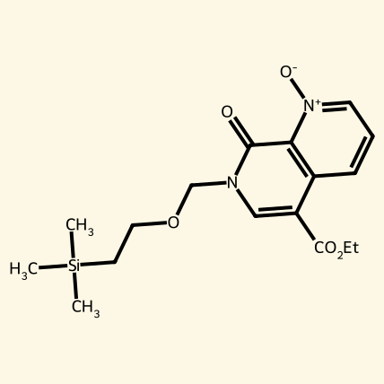 CCOC(=O)c1cn(COCC[Si](C)(C)C)c(=O)c2c1ccc[n+]2[O-]